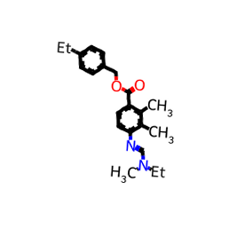 CCc1ccc(COC(=O)c2ccc(/N=C/N(C)CC)c(C)c2C)cc1